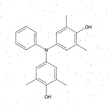 Cc1cc(N(c2ccccc2)c2cc(C)c(O)c(C)c2)cc(C)c1O